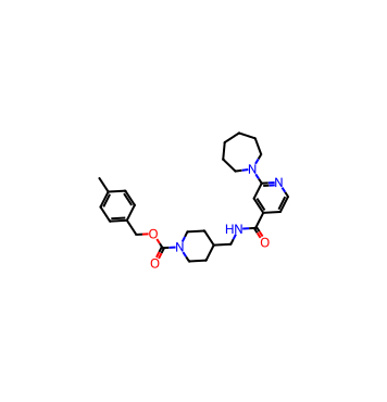 Cc1ccc(COC(=O)N2CCC(CNC(=O)c3ccnc(N4CCCCCC4)c3)CC2)cc1